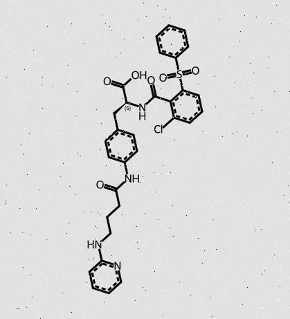 O=C(CCCNc1ccccn1)Nc1ccc(C[C@H](NC(=O)c2c(Cl)cccc2S(=O)(=O)c2ccccc2)C(=O)O)cc1